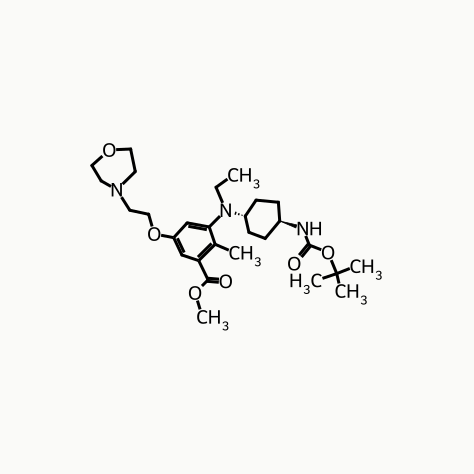 CCN(c1cc(OCCN2CCOCC2)cc(C(=O)OC)c1C)[C@H]1CC[C@H](NC(=O)OC(C)(C)C)CC1